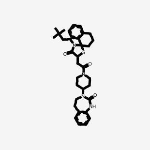 CC(C)(C)CCN1C(=O)C(CC(=O)N2CCC(N3CCc4ccccc4NC3=O)CC2)SC12CCCc1ccccc12